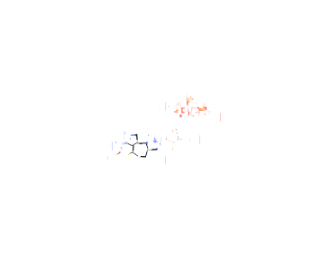 C[C@@]1(O)[C@H](O)[C@@H](COP(=O)(O)OP(=O)(O)OP(=O)(O)O)O[C@H]1n1cc2ccc3sc(=O)[nH]c4ncc(c2n1)c43